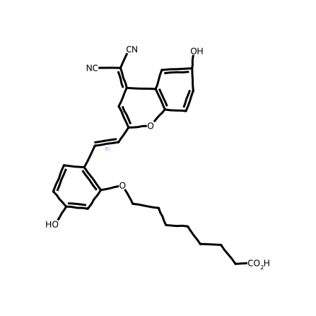 N#CC(C#N)=C1C=C(/C=C/c2ccc(O)cc2OCCCCCCCC(=O)O)Oc2ccc(O)cc21